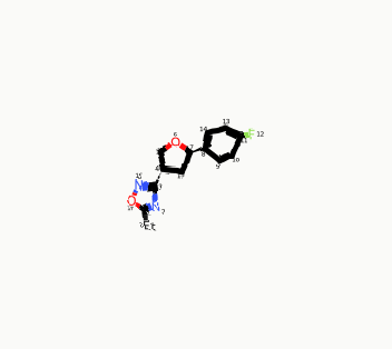 CCc1nc([C@@H]2CO[C@@H](c3ccc(F)cc3)C2)no1